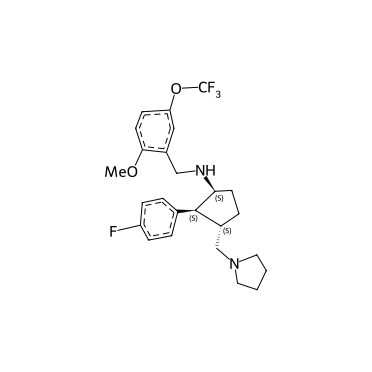 COc1ccc(OC(F)(F)F)cc1CN[C@H]1CC[C@H](CN2CCCC2)[C@H]1c1ccc(F)cc1